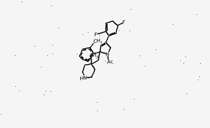 CC(=O)N1CC(C2=CC(F)CC=C2F)=CC1(CC1(C)CCNCC1)c1ccccc1C